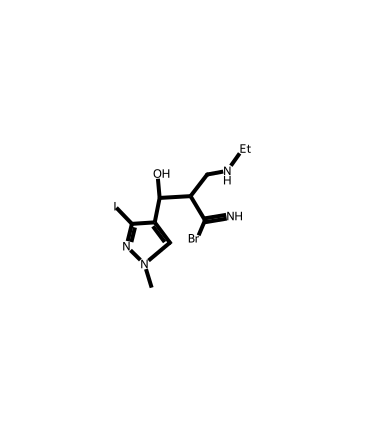 CCNCC(C(=N)Br)C(O)c1cn(C)nc1I